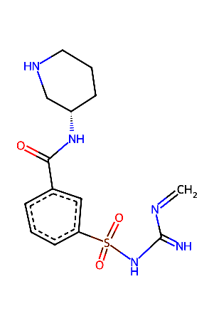 C=NC(=N)NS(=O)(=O)c1cccc(C(=O)N[C@H]2CCCNC2)c1